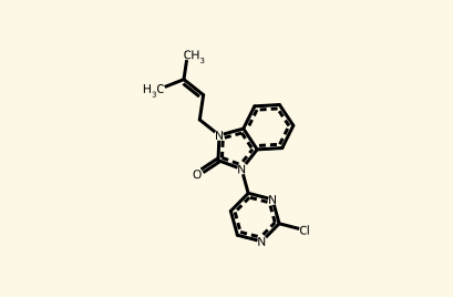 CC(C)=CCn1c(=O)n(-c2ccnc(Cl)n2)c2ccccc21